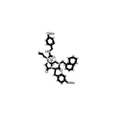 C=CCN(C(=O)NCc1ccc(OC)cc1)N1CC(=O)N2C(Cc3ccc(NC)cc3)C(=O)N(Cc3cccc4ccccc34)C[C@@H]21